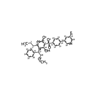 CCCc1nc(=O)c(S(=O)(=O)c2ccc(-c3cncc(F)c3)cc2)c(O)n1C(COC)c1ccccc1